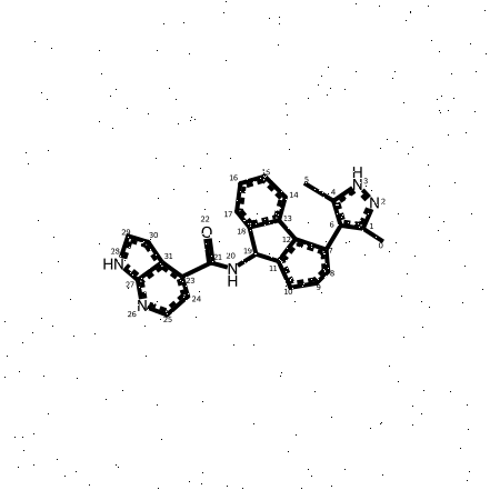 Cc1n[nH]c(C)c1-c1cccc2c1-c1ccccc1C2NC(=O)c1ccnc2[nH]ccc12